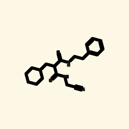 N#CCNC(=O)C(CC1CCCCC1)C(=O)NCCc1ccccc1